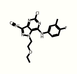 [C-]#[N+]c1nn(CCOCC)c2c(Nc3ccc(F)c(C)c3)nc(Cl)nc12